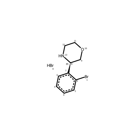 Br.Brc1ccccc1[C@@H]1COCCN1